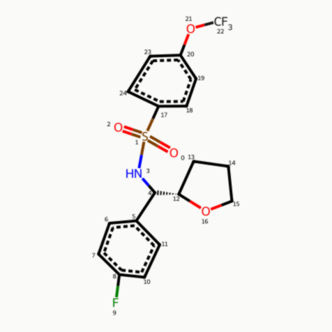 O=S(=O)(NC(c1ccc(F)cc1)[C@@H]1CCCO1)c1ccc(OC(F)(F)F)cc1